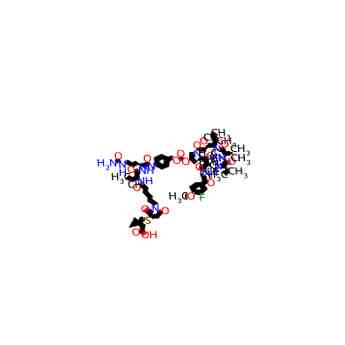 CC[C@H](C)[C@@H]([C@@H](CC(=O)N1C[C@@H](OC(=O)OCc2ccc(NC(=O)[C@H](CCCNC(N)=O)NC(=O)[C@@H](NC(=O)CCCCCN3C(=O)CC(SCC4(CC(=O)O)CC4)C3=O)C(C)C)cc2)C[C@H]1[C@H](OC)[C@@H](C)C(=O)NCC(=O)c1ccc(OC)c(F)c1)OC)N(C)C(=O)[C@@H](NC(=O)[C@H](C(C)C)N(C)C)C(C)C